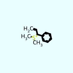 C=CC(c1ccccc1)[S+](C)C